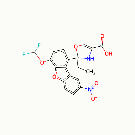 CCC1(c2ccc(OC(F)F)c3oc4ccc([N+](=O)[O-])cc4c23)NC(C(=O)O)=CO1